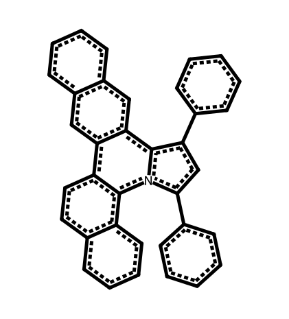 c1ccc(-c2cc(-c3ccccc3)n3c2c2cc4ccccc4cc2c2ccc4ccccc4c23)cc1